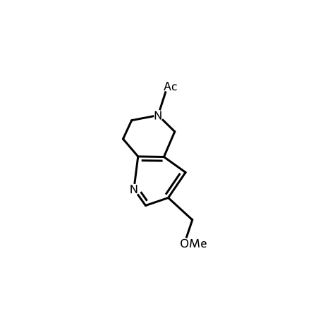 COCc1cnc2c(c1)CN(C(C)=O)CC2